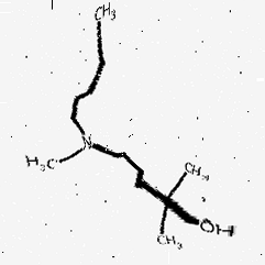 CCCN(C)CCC(C)(C)O